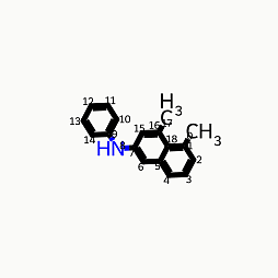 Cc1cccc2cc(Nc3ccccc3)cc(C)c12